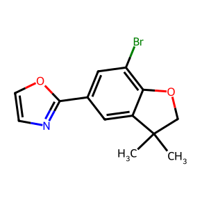 CC1(C)COc2c(Br)cc(-c3ncco3)cc21